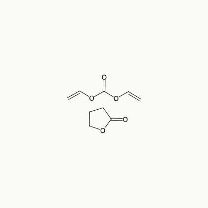 C=COC(=O)OC=C.O=C1CCCO1